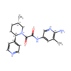 Cc1cc(NC(=O)C(=O)N2C[C@@H](C)CC[C@@H]2c2ccncc2)cnc1N